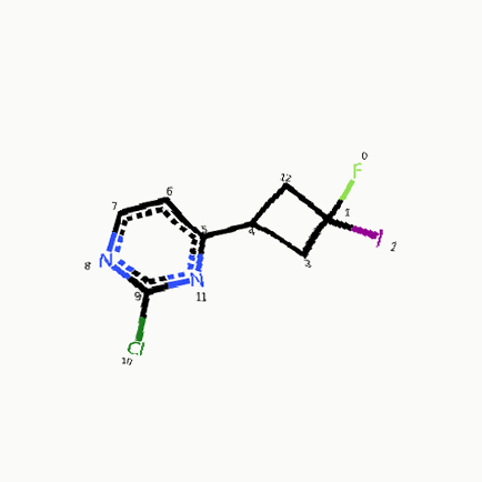 FC1(I)CC(c2ccnc(Cl)n2)C1